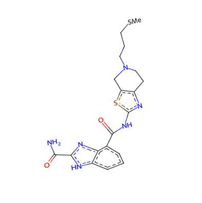 CSCCCN1CCc2nc(NC(=O)c3cccc4[nH]c(C(N)=O)nc34)sc2C1